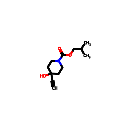 C#CC1(O)CCN(C(=O)OCC(C)C)CC1